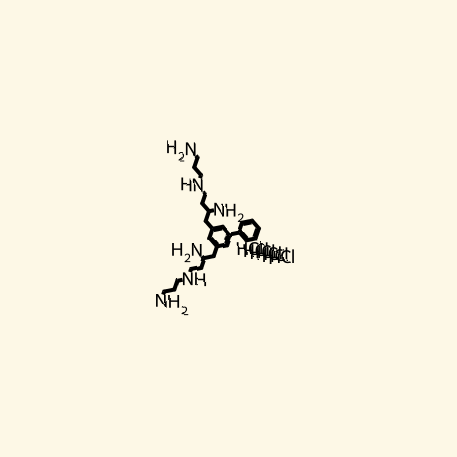 Cl.Cl.Cl.Cl.Cl.Cl.NCCCNCCC(N)Cc1cc(CC(N)CCNCCCN)cc(-c2ccccc2)c1